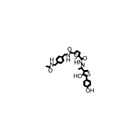 CC(=O)NCc1ccc(CNC(=O)c2ccc(C(=O)N/N=C(\C)c3csc(-c4ccc(O)cc4)c3O)s2)cc1